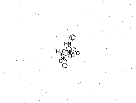 CC(CC(NCc1ccccn1)C1=CC(=O)C(=O)C=C1)NC(=O)C1CCC(=O)N1Cc1ccccc1